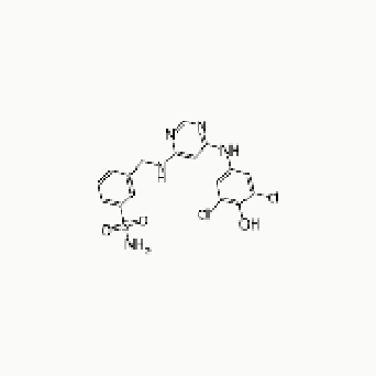 NS(=O)(=O)c1cccc(CNc2cc(Nc3cc(Cl)c(O)c(Cl)c3)ncn2)c1